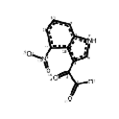 O=C(Cl)C(=O)c1c[nH]c2cccc([N+](=O)[O-])c12